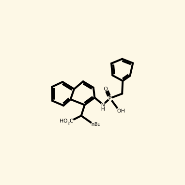 CCCCC(C(=O)O)c1c(NP(=O)(O)Cc2ccccc2)ccc2ccccc12